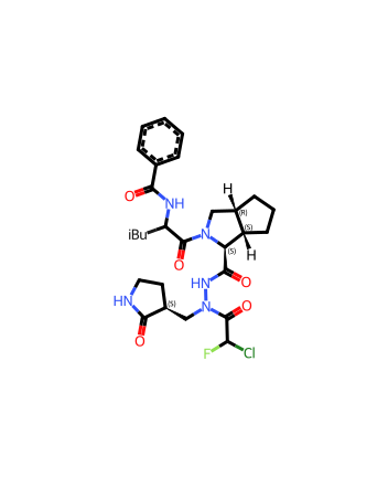 CCC(C)C(NC(=O)c1ccccc1)C(=O)N1C[C@@H]2CCC[C@@H]2[C@H]1C(=O)NN(C[C@@H]1CCNC1=O)C(=O)C(F)Cl